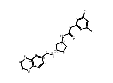 O=C(Cc1cc(F)cc(Cl)c1)N[C@H]1CC[C@H](NCc2ccc3c(c2)OCCO3)C1